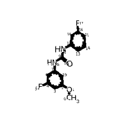 COc1cc(F)cc(NC(=O)Nc2cccc(F)c2)c1